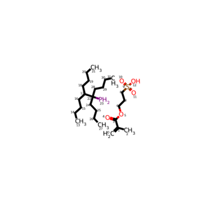 C=C(C)C(=O)OCCCS(=O)(=O)O.CCCCC(CCCC)C(P)(CCCC)CCCC